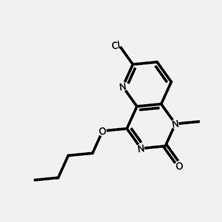 CCCCOc1nc(=O)n(C)c2ccc(Cl)nc12